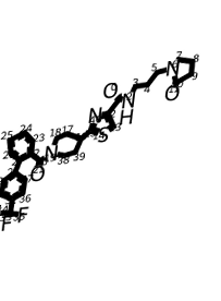 O=C(NCCCN1CCCC1=O)c1csc(C2CCN(C(=O)c3ccccc3-c3ccc(C(F)(F)F)cc3)CC2)n1